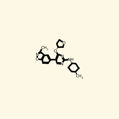 Cc1noc2ccc(-c3cnc(N[C@H]4CC[C@H](C)CC4)nc3O[C@@H]3CCOC3)cc12